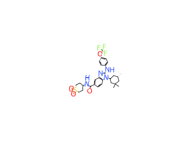 C[C@H]1CC(n2c(Nc3ccc(OC(F)(F)F)cc3)nc3cc(C(=O)NC4CCS(=O)(=O)CC4)ccc32)CC(C)(C)C1